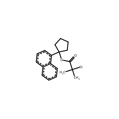 CCC(C)(C)C(=O)OC1(c2cccc3ccccc23)CCCC1